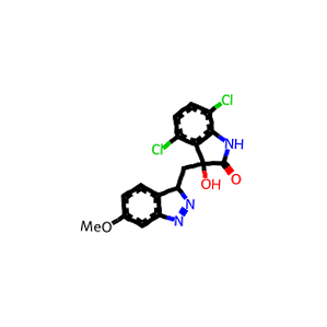 COc1ccc2c(c1)N=NC2CC1(O)C(=O)Nc2c(Cl)ccc(Cl)c21